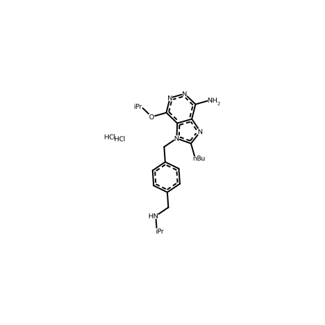 CCCCc1nc2c(N)nnc(OC(C)C)c2n1Cc1ccc(CNC(C)C)cc1.Cl.Cl